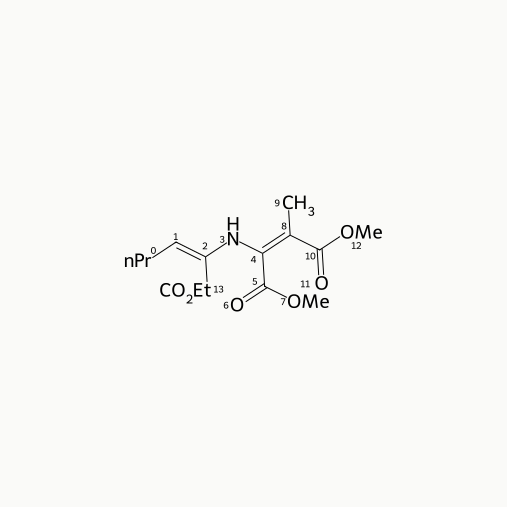 CCC/C=C(/N/C(C(=O)OC)=C(\C)C(=O)OC)C(=O)OCC